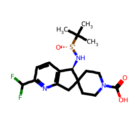 CC(C)(C)[S@@+]([O-])N[C@@H]1c2ccc(C(F)F)nc2CC12CCN(C(=O)O)CC2